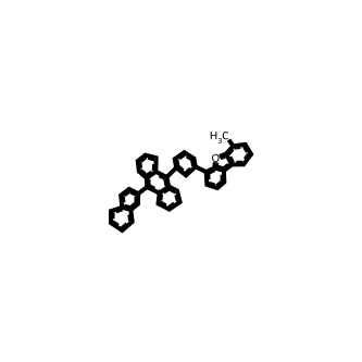 Cc1cccc2c1oc1c(-c3cccc(-c4c5ccccc5c(-c5ccc6ccccc6c5)c5ccccc45)c3)cccc12